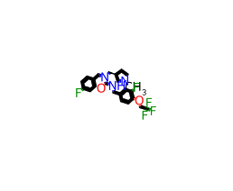 CN1CC[C@H](CN(Cc2ccc(F)cc2)C(=O)NCc2ccc(OCC(F)(F)F)c(F)c2)C1